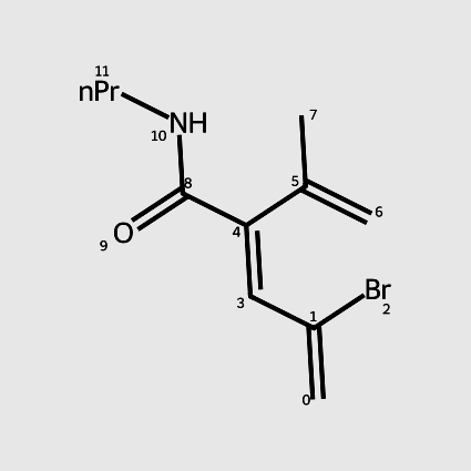 C=C(Br)/C=C(\C(=C)C)C(=O)NCCC